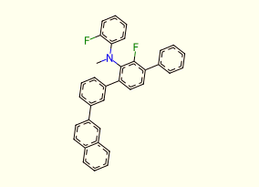 CN(c1ccccc1F)c1c(-c2cccc(-c3ccc4ccccc4c3)c2)ccc(-c2ccccc2)c1F